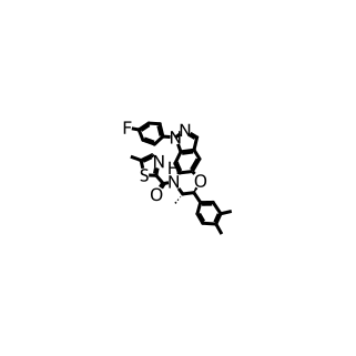 Cc1cnc(C(=O)N[C@@H](C)[C@@H](Oc2ccc3c(cnn3-c3ccc(F)cc3)c2)c2ccc(C)c(C)c2)s1